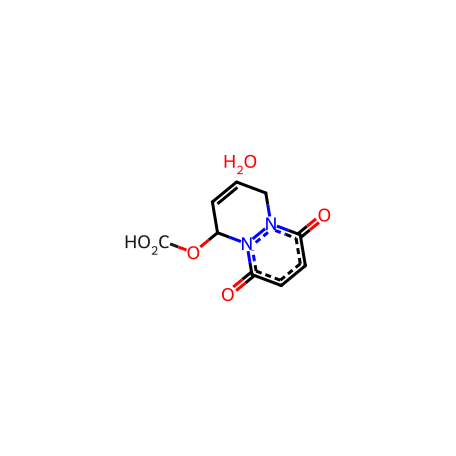 O.O=C(O)OC1C=CCn2c(=O)ccc(=O)n21